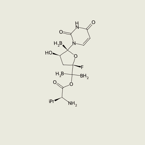 BC(B)(OC(=O)[C@@H](N)C(C)C)[C@]1(F)C[C@@H](O)[C@](B)(n2ccc(=O)[nH]c2=O)O1